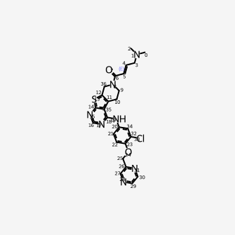 CN(C)C/C=C/C(=O)N1CCc2c(sc3ncnc(Nc4ccc(OCc5cnccn5)c(Cl)c4)c23)C1